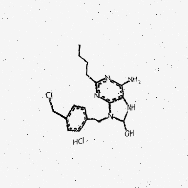 CCCCc1nc(N)c2c(n1)N(Cc1ccc(CCl)cc1)C(O)N2.Cl